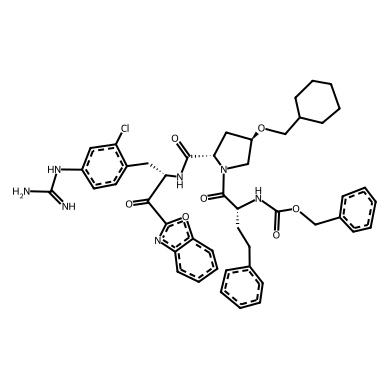 N=C(N)Nc1ccc(C[C@H](NC(=O)[C@@H]2C[C@@H](OCC3CCCCC3)CN2C(=O)[C@@H](CCc2ccccc2)NC(=O)OCc2ccccc2)C(=O)c2nc3ccccc3o2)c(Cl)c1